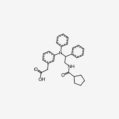 O=C(O)Cc1cccc(N(c2ccccc2)C(CNC(=O)C2CCCC2)c2ccccc2)c1